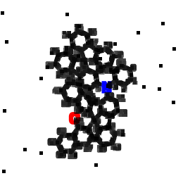 c1ccc(N(c2ccc3c(c2)C2(c4ccccc4-c4ccccc42)c2ccccc2-3)c2ccc3c(c2)C2(c4ccccc4-3)c3ccc4ccccc4c3Oc3c2ccc2ccccc32)cc1